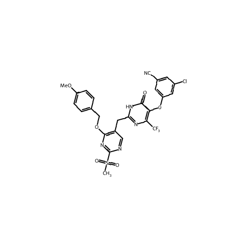 COc1ccc(COc2nc(S(C)(=O)=O)ncc2Cc2nc(C(F)(F)F)c(Oc3cc(Cl)cc(C#N)c3)c(=O)[nH]2)cc1